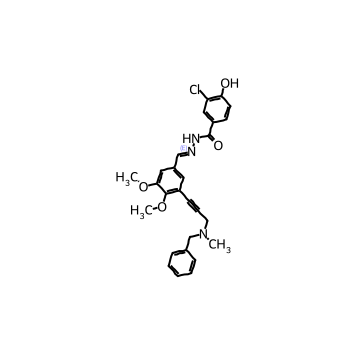 COc1cc(/C=N/NC(=O)c2ccc(O)c(Cl)c2)cc(C#CCN(C)Cc2ccccc2)c1OC